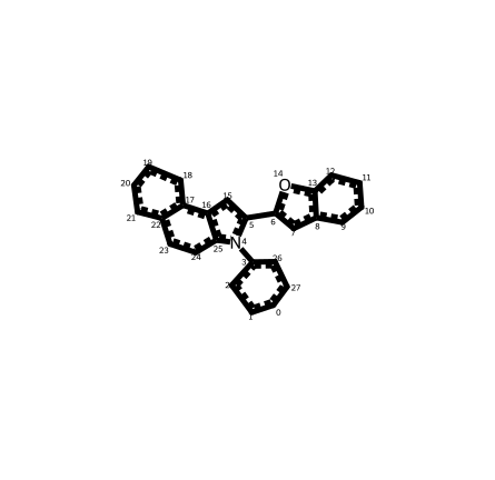 c1ccc(-n2c(-c3cc4ccccc4o3)cc3c4ccccc4ccc32)cc1